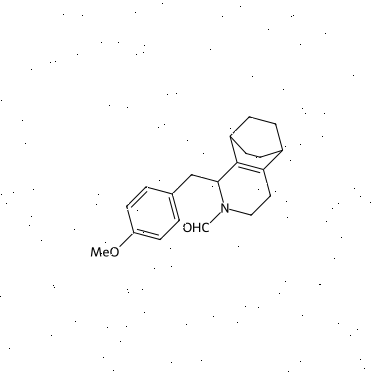 COc1ccc(CC2C3=C(CCN2C=O)C2CCC3CC2)cc1